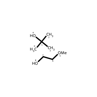 CC(C)(C)O.COCCO